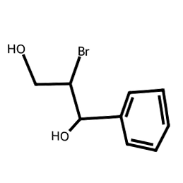 OCC(Br)C(O)c1ccccc1